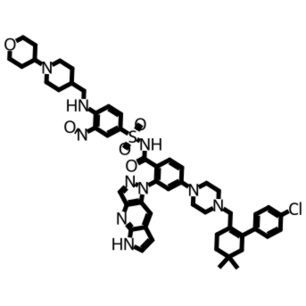 CC1(C)CCC(CN2CCN(c3ccc(C(=O)NS(=O)(=O)c4ccc(NCC5CCN(C6CCOCC6)CC5)c(N=O)c4)c(-n4ncc5nc6[nH]ccc6cc54)c3)CC2)=C(c2ccc(Cl)cc2)C1